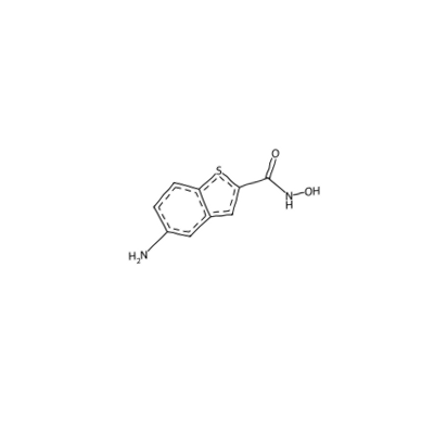 Nc1ccc2sc(C(=O)NO)cc2c1